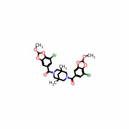 COC1Oc2cc(C(=O)N3CC4(C)CN(C(=O)c5cc(Br)c6c(c5)OC(OC)O6)CC(C)(C3)C4)cc(Br)c2O1